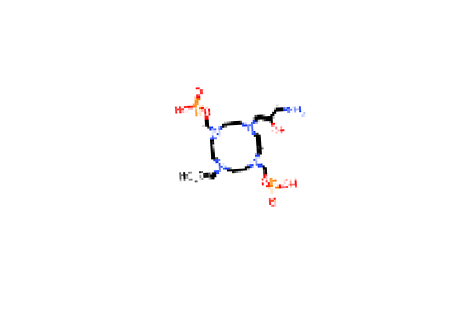 NCC(O)CN1CCN(CO[PH](=O)O)CCN(CC(=O)O)CCN(CO[PH](=O)O)CC1